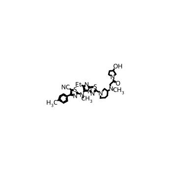 CCc1nc2sc(N3CCCC(N(C)CC(=O)N4CCC(O)C4)C3)nn2c1N(C)c1nc(-c2ccc(C)cc2)c(C#N)s1